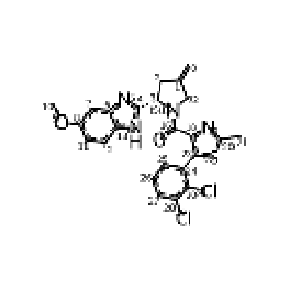 C=C1C[C@@H](c2nc3cc(OC)ccc3[nH]2)N(C(=O)c2nc(C)sc2-c2cccc(Cl)c2Cl)C1